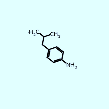 [CH2]C(C)Cc1ccc(N)cc1